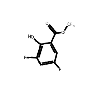 COC(=O)c1cc(F)cc(F)c1O